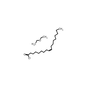 CCCCCCCC/C=C\CCCCCCCC(=O)Cl.CCOCC